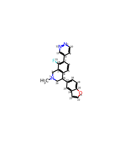 CN1Cc2c(ccc(-c3ccnnc3)c2F)C(c2ccc3occc3c2)C1